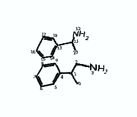 CC(CN)c1ccccc1.CC(N)c1ccccc1